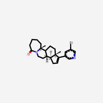 CCc1cncc(C2=CC[C@H]3[C@@H]4CCN5C(=O)CCCC[C@]5(C)C4CC[C@]23C)c1